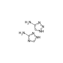 Nc1c[nH]nn1.Nc1nc[nH]n1